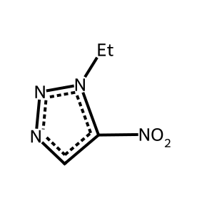 CCn1nncc1[N+](=O)[O-]